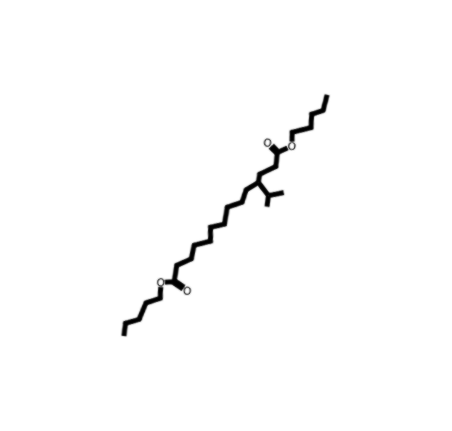 CCCCCOC(=O)CCCCCCCCCC(CCC(=O)OCCCCC)C(C)C